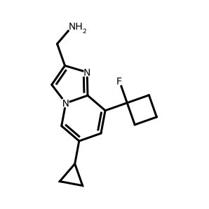 NCc1cn2cc(C3CC3)cc(C3(F)CCC3)c2n1